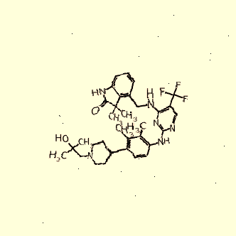 Cc1c(Nc2ncc(C(F)(F)F)c(NCc3cccc4c3C(C)(C)C(=O)N4)n2)ccc(C2CCN(CC(C)(C)O)CC2)c1C